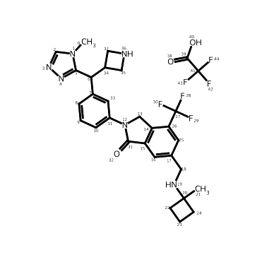 Cn1cnnc1C(c1cccc(N2Cc3c(cc(CNC4(C)CCC4)cc3C(F)(F)F)C2=O)c1)C1CNC1.O=C(O)C(F)(F)F